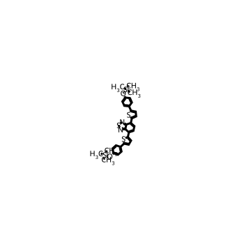 C[Si](C)(C)Oc1ccc(-c2ccc(-c3ccc(-c4ccc(-c5ccc(O[Si](C)(C)C)cc5)s4)c4nsnc34)s2)cc1